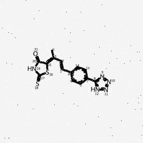 CC(/C=C/c1ccc(-c2nnn[nH]2)cc1)=C1SC(=S)NC1=O